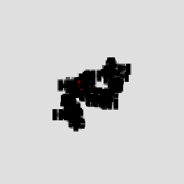 CO[C@@H]1[C@H](O)C[C@H](O[C@@H]2C[C@@H](Oc3cc4cc5c(c(O)c4c(O)c3C)C(=O)[C@H](O[C@@H]3C[C@@H](O[C@@H]4C[C@@H](O[C@H]6C[C@@](C)(O)[C@H](OC(C)=O)[C@@H](C)O6)[C@@H](O)[C@@H](C)O4)[C@@H](O)[C@@H](C)O3)[C@H]([C@H](OC)C(=O)[C@H](O)[C@@H](C)O)C5)O[C@H](C)[C@H]2O)O[C@@H]1C